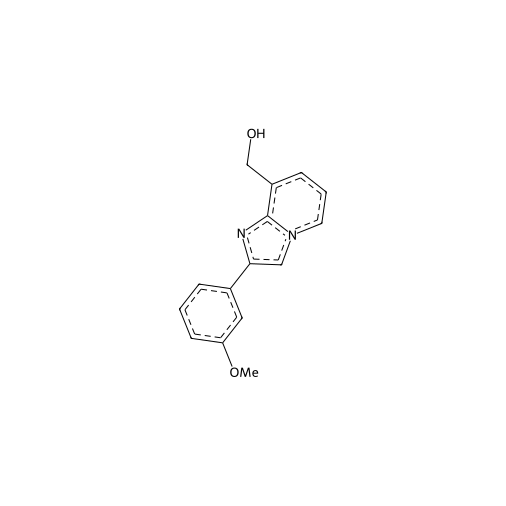 COc1cccc(-c2cn3cccc(CO)c3n2)c1